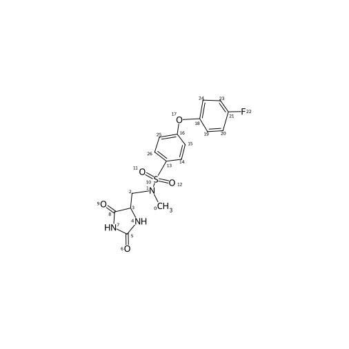 CN(CC1NC(=O)NC1=O)S(=O)(=O)c1ccc(Oc2ccc(F)cc2)cc1